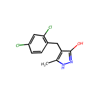 Cc1[nH]nc(O)c1Cc1ccc(Cl)cc1Cl